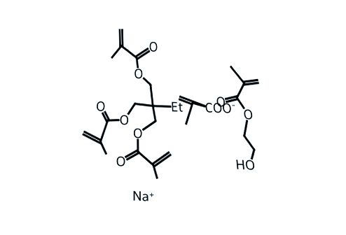 C=C(C)C(=O)OCC(CC)(COC(=O)C(=C)C)COC(=O)C(=C)C.C=C(C)C(=O)OCCO.C=C(C)C(=O)[O-].[Na+]